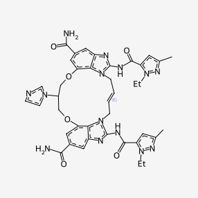 CCn1nc(C)cc1C(=O)Nc1nc2cc(C(N)=O)cc3c2n1C/C=C/Cn1c(NC(=O)c2cc(C)nn2CC)nc2cc(C(N)=O)cc(c21)OCC(n1ccnc1)CO3